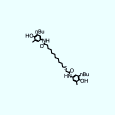 CCCCc1cc(NC(=O)CCCCCCCCCCSCC(=O)Nc2cc(C)c(O)c(CCCC)c2)cc(C)c1O